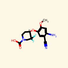 COc1cc(N)c(C#N)cc1O[C@@H]1CCN(C(=O)O)CC1(F)F